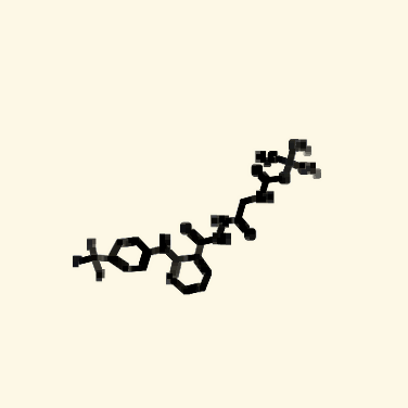 CC(C)(C)OC(=O)NCC(=O)NNC(=O)c1cccnc1Nc1ccc(C(F)(F)F)cc1